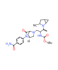 C=C(C(CN1C[C@@H]2CC1C(=O)N2c1ccc(C(N)=O)cc1)NC(=O)OC(C)(C)C)N1C(C#N)CC2CC21